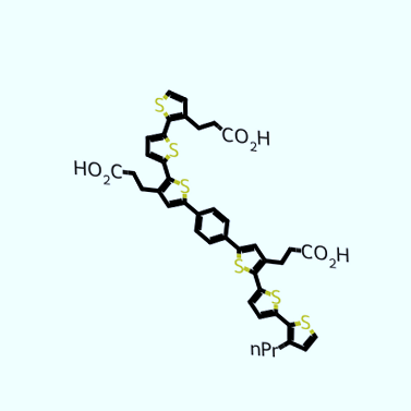 CCCc1ccsc1-c1ccc(-c2sc(-c3ccc(-c4cc(CCC(=O)O)c(-c5ccc(-c6sccc6CCC(=O)O)s5)s4)cc3)cc2CCC(=O)O)s1